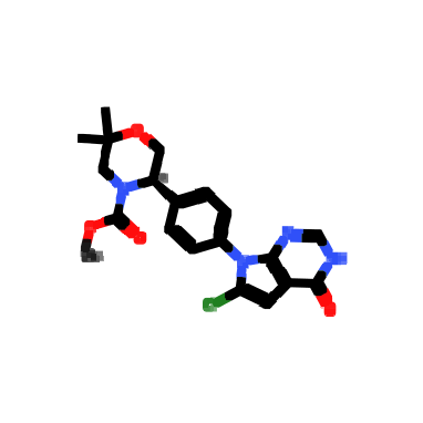 CC(C)(C)OC(=O)N1CC(C)(C)OC[C@H]1c1ccc(-n2c(Cl)cc3c(=O)[nH]cnc32)cc1